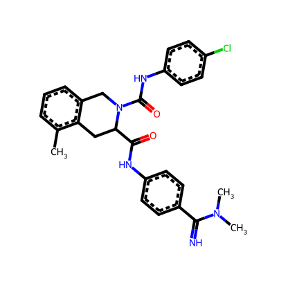 Cc1cccc2c1CC(C(=O)Nc1ccc(C(=N)N(C)C)cc1)N(C(=O)Nc1ccc(Cl)cc1)C2